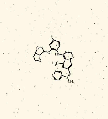 Cc1cc(/N=S(/C)c2ccncc2)cc2ncnc(Nc3ccc(F)cc3OC3COC4CCOC43)c12